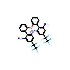 Nc1cc(C(F)(F)C(F)(F)F)cc(N)c1-c1ccccc1Oc1ccccc1-c1c(N)cc(C(F)(F)C(F)(F)F)cc1N